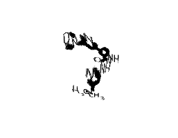 CN(C)Cc1cncc(NC(=O)c2n[nH]c3ccc(-c4cncc(CN5CCOCC5)c4)cc23)c1